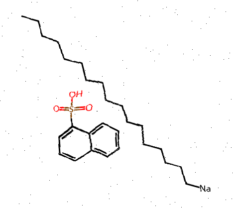 CCCCCCCCCCCCCCCC[CH2][Na].O=S(=O)(O)c1cccc2ccccc12